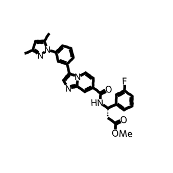 COC(=O)C[C@H](NC(=O)c1ccn2c(-c3cccc(-n4nc(C)cc4C)c3)cnc2c1)c1cccc(F)c1